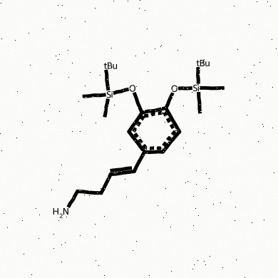 CC(C)(C)[Si](C)(C)Oc1ccc(C=CCCN)cc1O[Si](C)(C)C(C)(C)C